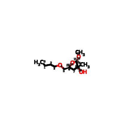 CCCCOC[C@@H]1C[C@@](C)(O)[C@@H](OC)O1